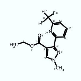 CCOC(=O)c1cn(C)nc1-c1cccc(C(F)(F)F)n1